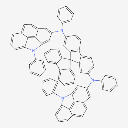 c1ccc(N(c2ccc3c(c2)C2(c4ccccc4-c4ccccc42)c2cc(N(c4ccccc4)c4cc5ccc6cccc7c6c5c(c4)n7-c4ccccc4)ccc2-3)c2cc3ccc4cccc5c4c3c(c2)n5-c2ccccc2)cc1